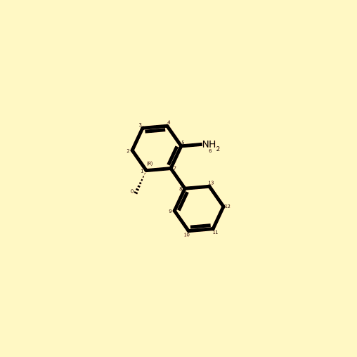 C[C@@H]1CC=CC(N)=C1C1=CC=CCC1